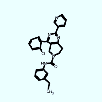 CCc1cccc(NC(=O)N2CCc3nc(-c4cccnc4)nc(-c4ccccc4Cl)c3C2)c1